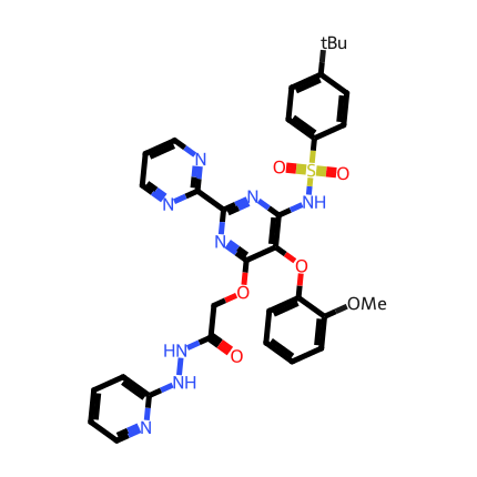 COc1ccccc1Oc1c(NS(=O)(=O)c2ccc(C(C)(C)C)cc2)nc(-c2ncccn2)nc1OCC(=O)NNc1ccccn1